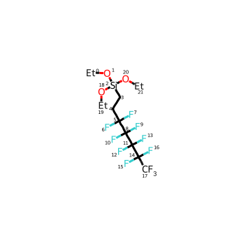 CCO[Si](CCC(F)(F)C(F)(F)C(F)(F)C(F)(F)C(F)(F)F)(OCC)OCC